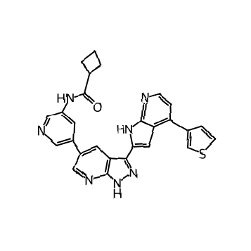 O=C(Nc1cncc(-c2cnc3[nH]nc(-c4cc5c(-c6ccsc6)ccnc5[nH]4)c3c2)c1)C1CCC1